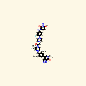 COc1cc(-c2cn(C)c(=O)c3[nH]ncc23)cc(OC)c1CN1CCN(C(=O)CN2CCN(c3ccc(NC4CCC(=O)NC4=O)cc3F)CC2)C(C)(C)C1